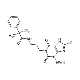 CCCCCn1c(=O)n(CCCNC(=O)C(C)(C)c2ccccc2)c(=O)c2[nH]c(Cl)nc21